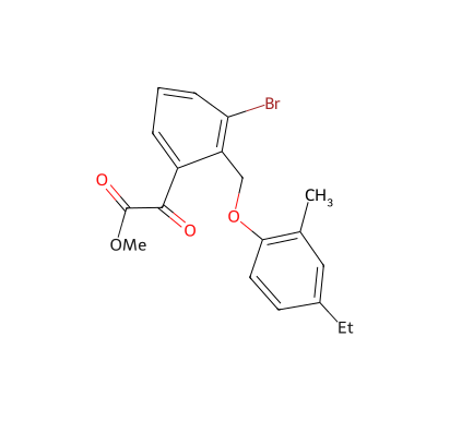 CCc1ccc(OCc2c(Br)cccc2C(=O)C(=O)OC)c(C)c1